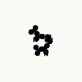 c1ccc(N(c2ccccc2)c2ccc3c(c2)c2cnccc2n3-c2ccc(-c3ccnc4c3ccc3c(-c5ccc(-n6c7ccncc7c7cc(N(c8ccccc8)c8ccccc8)ccc76)cc5)ccnc34)cc2)cc1